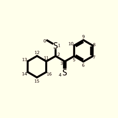 CSC(C(=S)c1ccccc1)C1CCCCC1